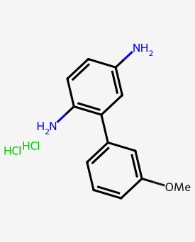 COc1cccc(-c2cc(N)ccc2N)c1.Cl.Cl